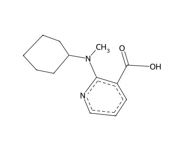 CN(c1ncccc1C(=O)O)C1CCCCC1